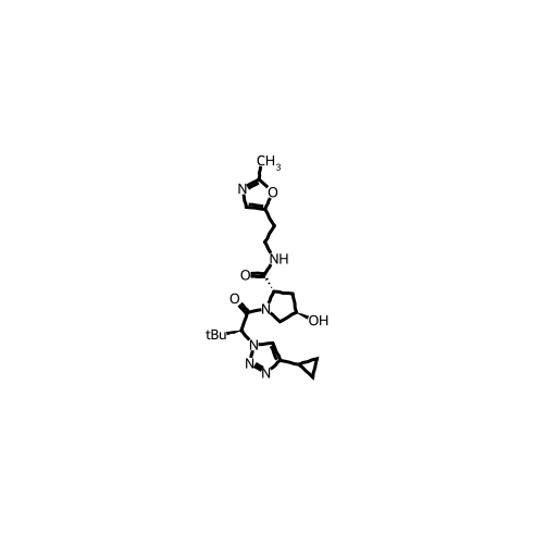 Cc1ncc(CCNC(=O)[C@@H]2C[C@@H](O)CN2C(=O)[C@@H](n2cc(C3CC3)nn2)C(C)(C)C)o1